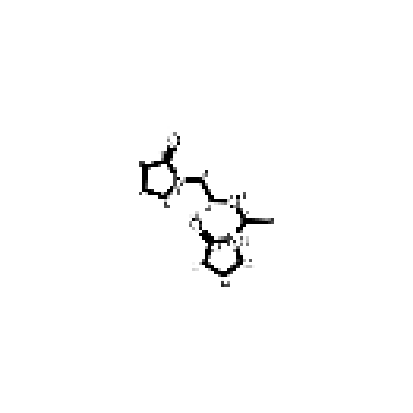 CC(OCCN1CCCC1=O)N1CCCC1=O